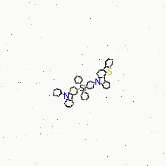 c1ccc(-n2c3ccccc3c3cc([Si](c4ccccc4)(c4ccccc4)c4ccc(-n5c6ccccc6c6c7sc8ccccc8c7ccc65)cc4)ccc32)cc1